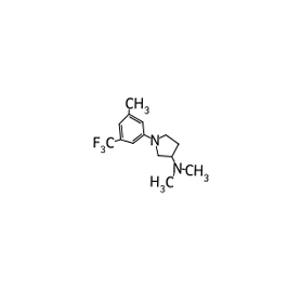 Cc1cc(N2CCC(N(C)C)C2)cc(C(F)(F)F)c1